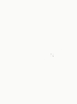 CCCCC(CC)CC[n+]1cccc2ccccc21